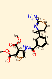 COC(=O)c1scc(NC(=O)c2cccc(C3(C)CCSC(N)=N3)c2)c1C(=O)OC